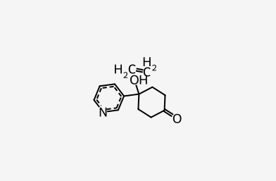 C=C.O=C1CCC(O)(c2cccnc2)CC1